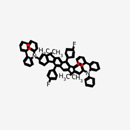 CC1(C)c2cc(N(c3ccccc3)c3ccccc3-c3ccccc3)ccc2-c2c1cc1c(-c3ccc(F)cc3)c3c(cc1c2-c1ccc(F)cc1)C(C)(C)c1cc(N(c2ccccc2)c2ccccc2-c2ccccc2)ccc1-3